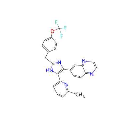 Cc1cccc(-c2[nH]c(Cc3ccc(OC(F)(F)F)cc3)nc2-c2ccc3nccnc3c2)n1